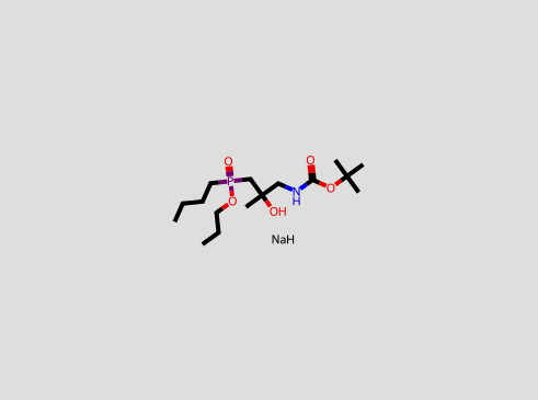 CCCCP(=O)(CC(C)(O)CNC(=O)OC(C)(C)C)OCCC.[NaH]